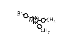 Cc1ccc(-c2nc3nc(-c4ccc(Br)cc4)cn3nc2-c2ccc(C)cc2)cc1